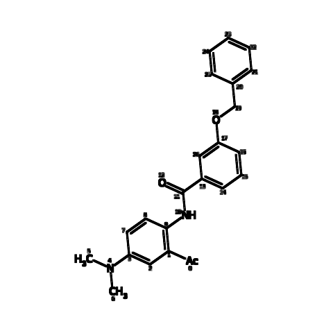 CC(=O)c1cc(N(C)C)ccc1NC(=O)c1cccc(OCc2ccccc2)c1